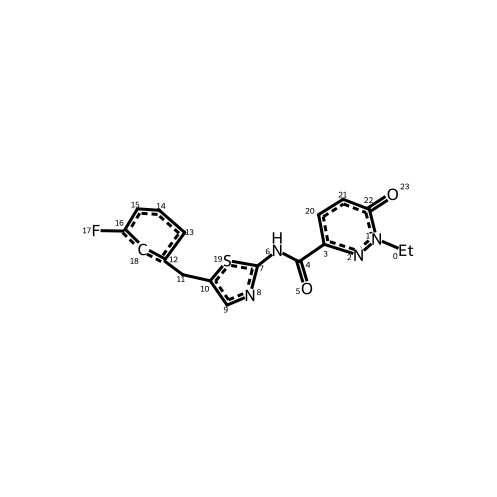 CCn1nc(C(=O)Nc2ncc(Cc3cccc(F)c3)s2)ccc1=O